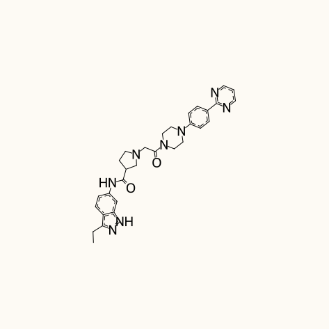 CCc1n[nH]c2cc(NC(=O)C3CCN(CC(=O)N4CCN(c5ccc(-c6ncccn6)cc5)CC4)C3)ccc12